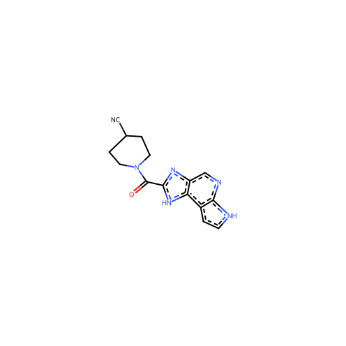 N#CC1CCN(C(=O)c2nc3cnc4[nH]ccc4c3[nH]2)CC1